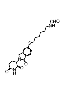 O=CNCCCCCCSc1ccc2c(c1)CN(C1CCC(=O)NC1=O)C2=O